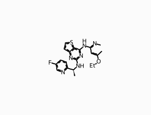 CCO/C(C)=C/C(=N\C)Nc1nc(N[C@@H](C)c2ccc(F)cn2)nc2ccsc12